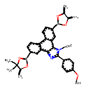 C=C1OB(c2ccc3c4ccc(B5OC(=C)C(C)(C)O5)cc4c4nc(-c5ccc(OCCCCCCCC)cc5)n(CCCCCCCC)c4c3c2)OC1=C